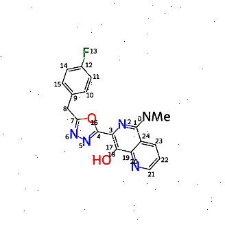 CNc1nc(-c2nnc(Cc3ccc(F)cc3)o2)c(O)c2ncccc12